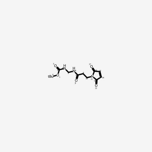 CC(C)(C)OC(=O)NCNC(=O)CCN1C(=O)C=CC1=O